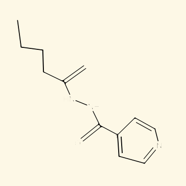 C=C(CCCC)NNC(=O)c1ccncc1